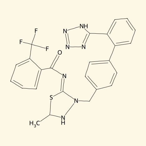 CC1NN(Cc2ccc(-c3ccccc3-c3nnn[nH]3)cc2)C(=NC(=O)c2ccccc2C(F)(F)F)S1